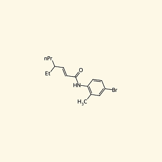 CCCC(/C=C/C(=O)Nc1ccc(Br)cc1C)CC